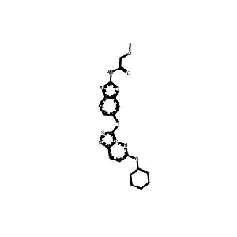 COCC(=O)Nc1nc2ccc(Sc3nnc4ccc(OC5CCCCC5)nn34)cc2s1